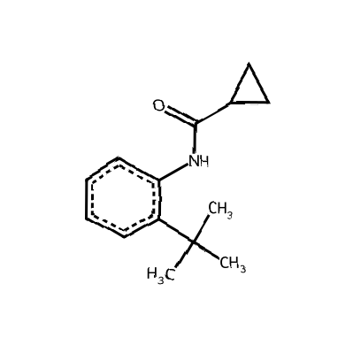 CC(C)(C)c1ccccc1NC(=O)C1CC1